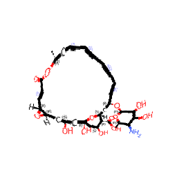 C[C@@H]1C\C=C/C=C/C=C/C=C/[C@H](O[C@@H]2O[C@H](C)C(N)C(O)C2O)C[C@@H]2O[C@](O)(C[C@@H](O)C[C@H]3O[C@@H]3/C=C/C(=O)O1)C[C@H](O)[C@H]2C(=O)O